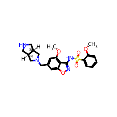 COc1ccccc1S(=O)(=O)Nc1noc2cc(CN3C[C@H]4CNC[C@H]4C3)cc(OC)c12